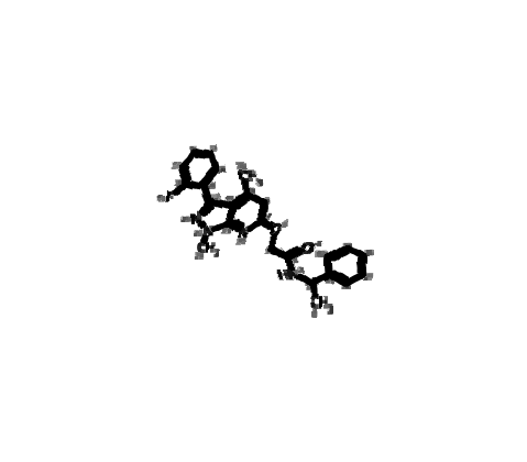 CC(NC(=O)COc1cc(C(F)(F)F)c2c(-c3ccccc3F)nn(C)c2n1)c1ccccc1